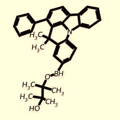 CC1(C)c2cc(BOC(C)(C)C(C)(C)O)ccc2-n2c3ccccc3c3ccc(-c4ccccc4)c1c32